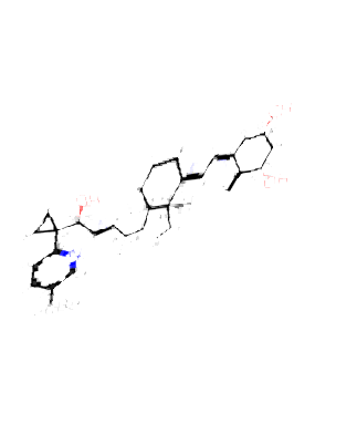 C=C1/C(=C\C=C2/CCC[C@]3(C)[C@@H]([C@H](C)/C=C/[C@H](O)C4(c5ccc(CCCC)cn5)CC4)CC[C@@H]23)C[C@@H](O)C[C@@H]1O